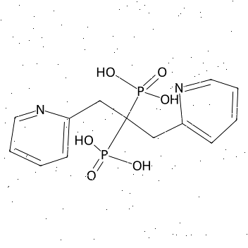 O=P(O)(O)C(Cc1ccccn1)(Cc1ccccn1)P(=O)(O)O